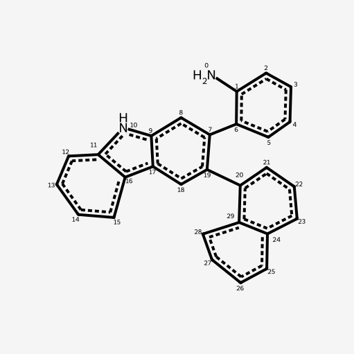 Nc1ccccc1-c1cc2[nH]c3ccccc3c2cc1-c1cccc2ccccc12